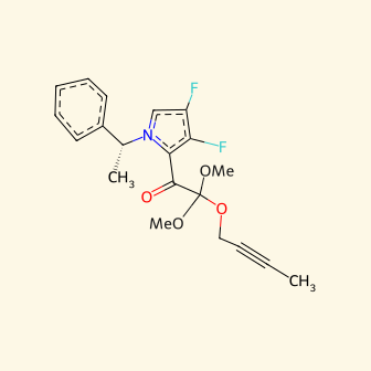 CC#CCOC(OC)(OC)C(=O)c1c(F)c(F)cn1[C@H](C)c1ccccc1